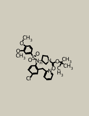 COc1ccc(S(=O)(=O)N(c2ccc(Cl)cc2Cc2ccccn2)[C@@H]2CCN(C(=O)OC(C)(C)C)C2)cc1OC